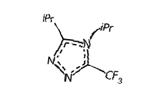 CC(C)c1nnc(C(F)(F)F)n1C(C)C